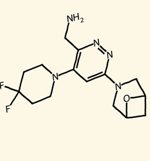 NCc1nnc(N2CC3CC(C2)O3)cc1N1CCC(F)(F)CC1